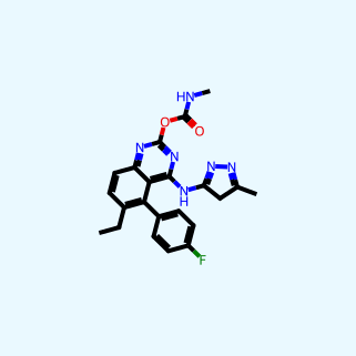 CCc1ccc2nc(OC(=O)NC)nc(NC3=NN=C(C)C3)c2c1-c1ccc(F)cc1